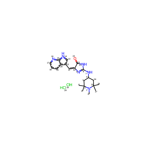 CN1C(C)(C)CC(NC2=NC(=Cc3c[nH]c4ncccc34)C(=O)N2)CC1(C)C.Cl.Cl